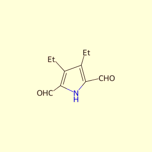 CCc1c(C=O)[nH]c(C=O)c1CC